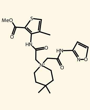 COC(=O)c1scc(C)c1NC(=O)C[N+]1(CC(=O)Nc2ccon2)CCC(C)(C)CC1